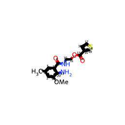 COc1cc(C)cc(C(=O)NCCOC(=O)c2ccsc2)c1N